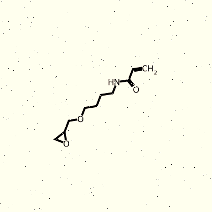 C=CC(=O)NCCCCOCC1CO1